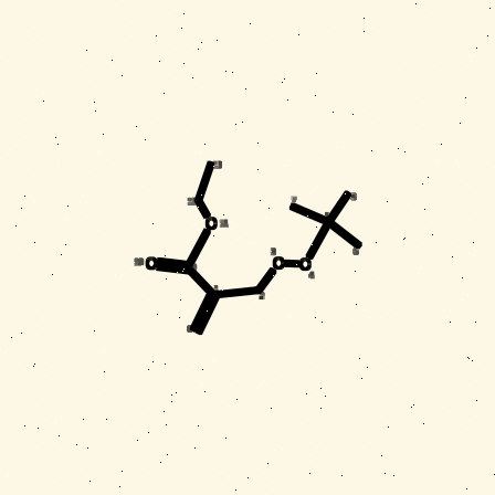 C=C(COOC(C)(C)C)C(=O)OCC